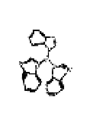 c1ccc2c(c1)ncn2P(n1cnc2ccccc21)n1cnc2ccccc21